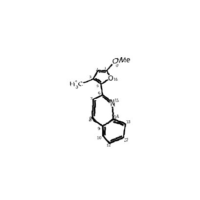 COc1cc(C)c(-c2ccc3ccccc3n2)o1